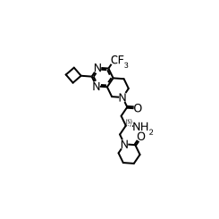 N[C@@H](CC(=O)N1CCc2c(nc(C3CCC3)nc2C(F)(F)F)C1)CN1CCCCC1=O